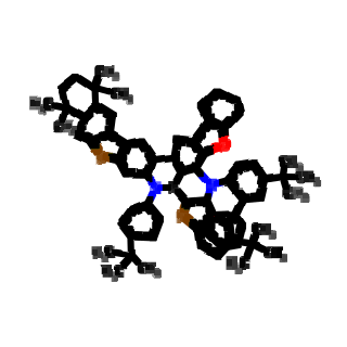 CC(C)(C)c1ccc(N2B3c4sc5ccc(C(C)(C)C)cc5c4N(c4ccc(C(C)(C)C)cc4-c4ccccc4)c4c3c(cc3c4oc4ccccc43)-c3cc4c(cc32)sc2cc3c(cc24)C(C)(C)CCC3(C)C)cc1